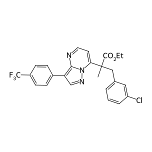 CCOC(=O)C(C)(Cc1cccc(Cl)c1)c1ccnc2c(-c3ccc(C(F)(F)F)cc3)cnn12